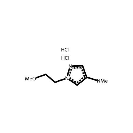 CNc1cnn(CCOC)c1.Cl.Cl